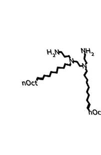 CCCCCCCC/C=C/CCCCCCCCN(CCCN)CCN(CCCN)CCCCCCCC/C=C/CCCCCCCC